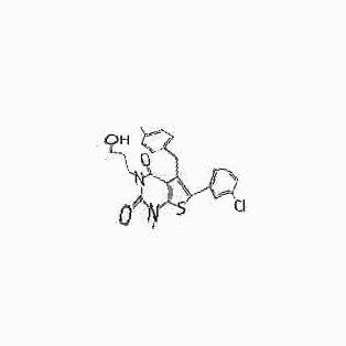 Cc1ccc(Cc2c(-c3cccc(Cl)c3)sc3c2c(=O)n(CCCO)c(=O)n3C)cc1